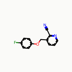 N#Cc1ncccc1COc1ccc(F)cc1